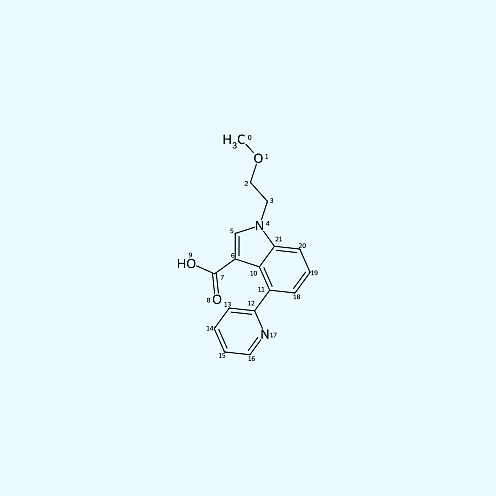 COCCn1cc(C(=O)O)c2c(-c3ccccn3)cccc21